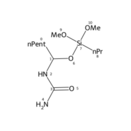 CCCCCC(NC(N)=O)O[Si](CCC)(OC)OC